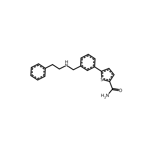 NC(=O)c1ccc(-c2cccc(CNCCc3ccccc3)c2)s1